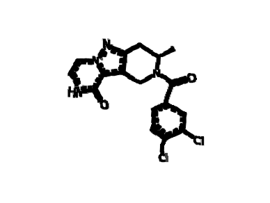 C[C@@H]1Cc2nn3cc[nH]c(=O)c3c2CN1C(=O)c1ccc(Cl)c(Cl)c1